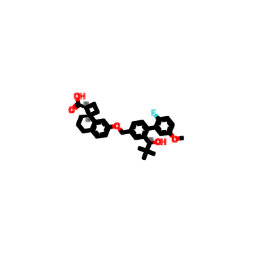 COc1ccc(F)c(-c2ccc(COc3ccc4c(c3)[C@@]3(CCC4)CC[C@@H]3C(=O)O)cc2[C@@H](O)C(C)(C)C)c1